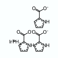 O=C([O-])c1ccc[nH]1.O=C([O-])c1ccc[nH]1.O=C([O-])c1ccc[nH]1.P.[Ir+3]